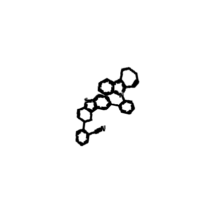 N#Cc1ccccc1C1C=Cc2sc3ccc(-c4ccccc4-n4c5c(c6ccccc64)CCCC#C5)cc3c2C1